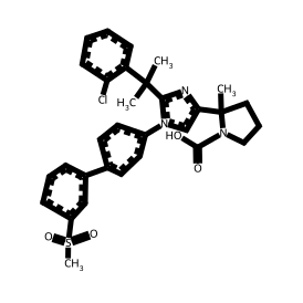 CC(C)(c1ccccc1Cl)c1nc(C2(C)CCCN2C(=O)O)cn1-c1ccc(-c2cccc(S(C)(=O)=O)c2)cc1